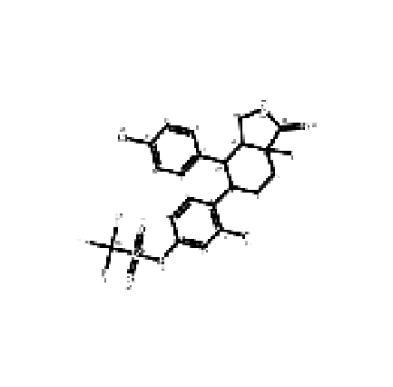 CC12CCC(c3ccc(OS(=O)(=O)C(F)(F)F)cc3Cl)C(c3ccc(Cl)cc3)C1CNC2=O